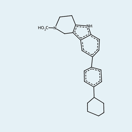 O=C(O)N1CCc2[nH]c3ccc(-c4ccc(C5CCCCC5)cc4)cc3c2C1